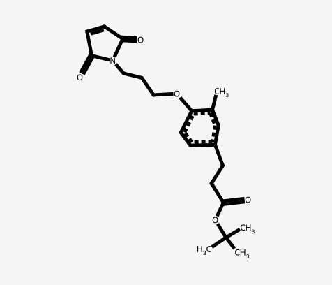 Cc1cc(CCC(=O)OC(C)(C)C)ccc1OCCCN1C(=O)C=CC1=O